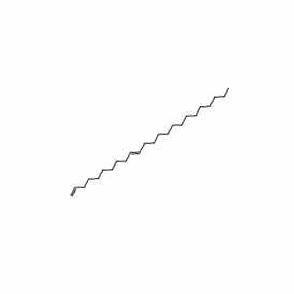 C=CCCCCCCCC=CCCCCCCCCCCCCC